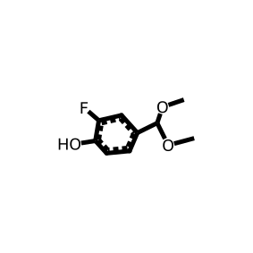 COC(OC)c1ccc(O)c(F)c1